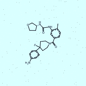 Cc1ccc(C(=O)N2CCC(F)(c3ccc(N)cc3)CC2)cc1NC(=O)N[C@@H]1CCOC1